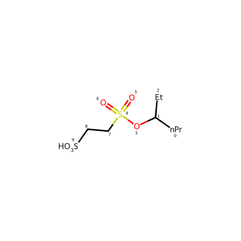 CCCC(CC)OS(=O)(=O)CCS(=O)(=O)O